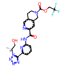 C[C@H](CO)n1nnnc1-c1cccc(NC(=O)c2cc3c(cn2)CCN(C(=O)OCC(F)(F)F)C3)n1